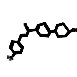 O=C(C=Cc1ccc(C(F)(F)F)cc1)c1ccc(N2CCC(O)CC2)cc1